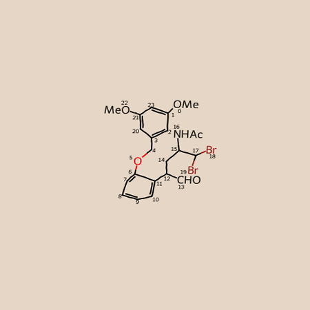 COc1cc(COc2ccccc2C(C=O)CC(NC(C)=O)C(Br)Br)cc(OC)c1